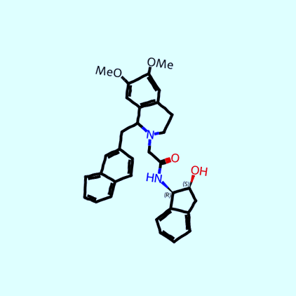 COc1cc2c(cc1OC)C(Cc1ccc3ccccc3c1)N(CC(=O)N[C@@H]1c3ccccc3C[C@@H]1O)CC2